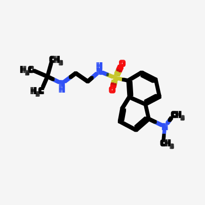 CN(C)c1cccc2c(S(=O)(=O)NCCNC(C)(C)C)cccc12